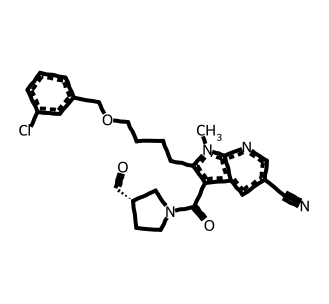 Cn1c(CCCCOCc2cccc(Cl)c2)c(C(=O)N2CC[C@H](C=O)C2)c2cc(C#N)cnc21